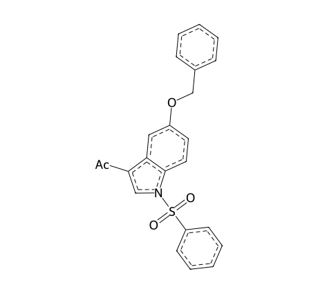 CC(=O)c1cn(S(=O)(=O)c2ccccc2)c2ccc(OCc3ccccc3)cc12